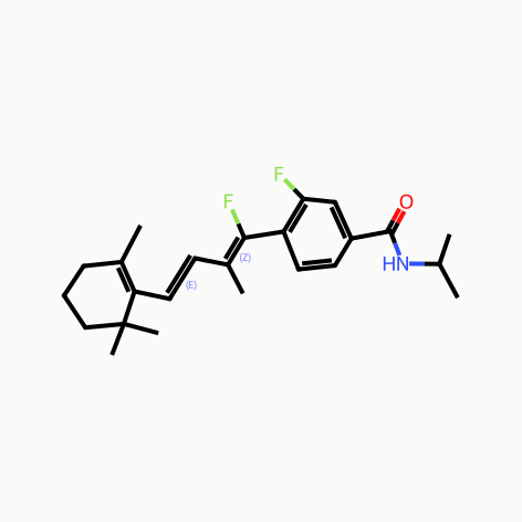 CC1=C(/C=C/C(C)=C(\F)c2ccc(C(=O)NC(C)C)cc2F)C(C)(C)CCC1